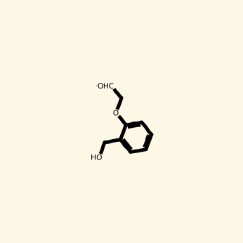 O=[C]COc1ccccc1CO